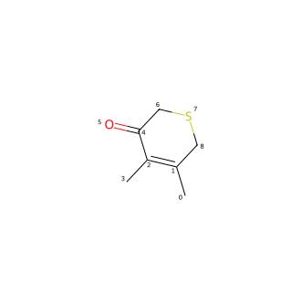 CC1=C(C)C(=O)CSC1